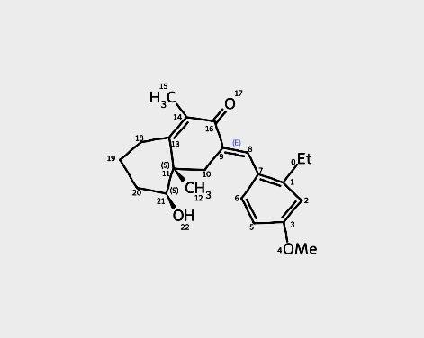 CCc1cc(OC)ccc1/C=C1\C[C@@]2(C)C(=C(C)C1=O)CCC[C@@H]2O